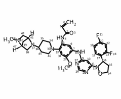 C=CC(=O)Nc1cc(Nc2cc(N3OCC[C@@H]3c3ccc(F)cc3F)ncn2)c(OC)cc1N1CCC(N2C[C@H]3C[C@@H]2CN3C)CC1